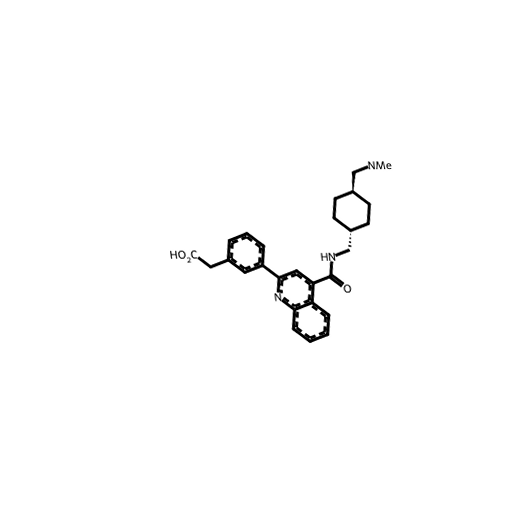 CNC[C@H]1CC[C@H](CNC(=O)c2cc(-c3cccc(CC(=O)O)c3)nc3ccccc23)CC1